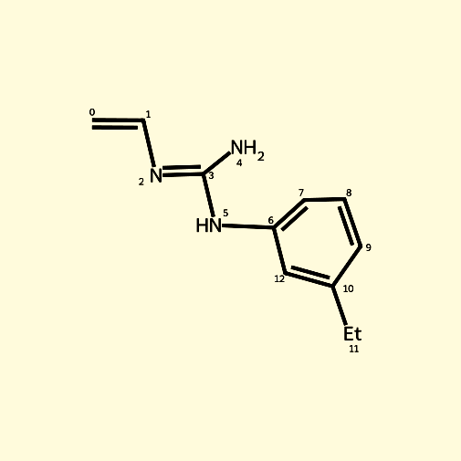 C=C/N=C(\N)Nc1cccc(CC)c1